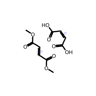 COC(=O)/C=C/C(=O)OC.O=C(O)/C=C\C(=O)O